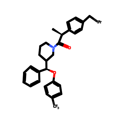 CC(C)Cc1ccc([C@H](C)C(=O)N2CCCC([C@@H](Oc3ccc(C(F)(F)F)cc3)c3ccccc3)C2)cc1